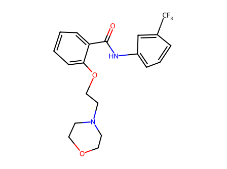 O=C(Nc1cccc(C(F)(F)F)c1)c1ccccc1OCCN1CCOCC1